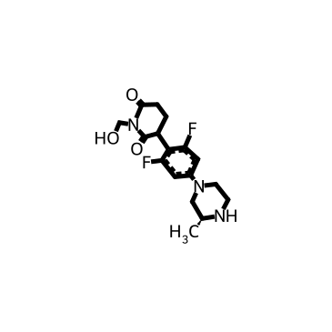 C[C@@H]1CN(c2cc(F)c(C3CCC(=O)N(CO)C3=O)c(F)c2)CCN1